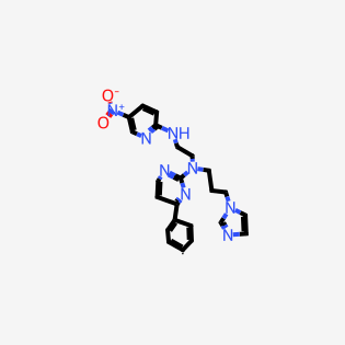 O=[N+]([O-])c1ccc(NCCN(CCCn2ccnc2)c2nccc(-c3cc[c]cc3)n2)nc1